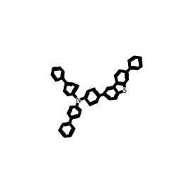 c1ccc(-c2ccc(N(c3ccc(-c4ccccc4)cc3)c3ccc(-c4ccc5sc6cc(-c7ccccc7)ccc6c5c4)cc3)cc2)cc1